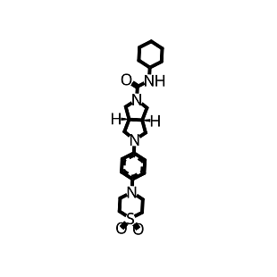 O=C(NC1CCCCC1)N1C[C@@H]2CN(c3ccc(N4CCS(=O)(=O)CC4)cc3)C[C@@H]2C1